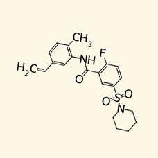 C=Cc1ccc(C)c(NC(=O)c2cc(S(=O)(=O)N3CCCCC3)ccc2F)c1